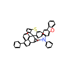 c1ccc(-c2ccc3c4c(cccc24)C2(c4ccccc4Sc4ccccc42)c2cc(N(c4ccccc4)c4ccc5c(c4)oc4ccccc45)ccc2-3)cc1